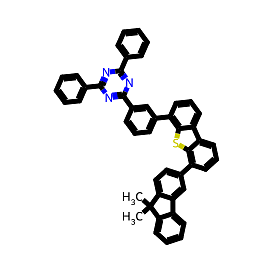 CC1(C)c2ccccc2-c2cc(-c3cccc4c3sc3c(-c5cccc(-c6nc(-c7ccccc7)nc(-c7ccccc7)n6)c5)cccc34)ccc21